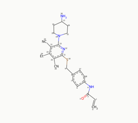 C=CC(=O)Nc1ccc(CSc2nc(N3CCC(N)CC3)c(C#N)c(CC)c2C#N)cc1